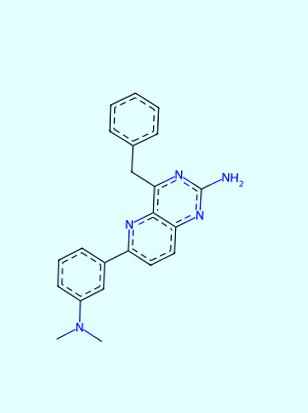 CN(C)c1cccc(-c2ccc3nc(N)nc(Cc4ccccc4)c3n2)c1